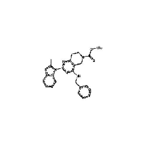 Cc1cc2ccccc2n1-c1nc2c(c(NCc3ccccc3)n1)CN(C(=O)OC(C)(C)C)CC2